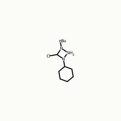 CCCCN1[SiH2]N(C2CCCCC2)C1Cl